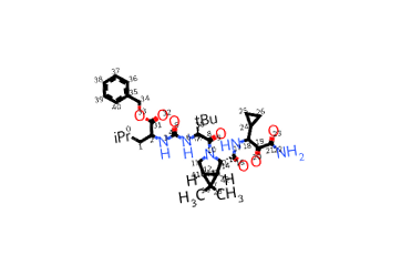 CC(C)CC(NC(=O)N[C@H](C(=O)N1C[C@H]2[C@@H]([C@H]1C(=O)NC(C(=O)C(N)=O)C1CC1)C2(C)C)C(C)(C)C)C(=O)OCc1ccccc1